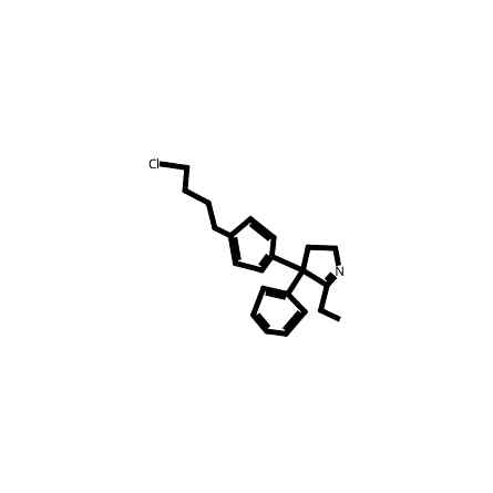 CCC1=NCCC1(c1ccccc1)c1ccc(CCCCCl)cc1